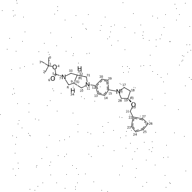 CC(C)(C)OC(=O)N1C[C@@H]2CN(c3ccc(N4CC[C@@H](OCc5ccccc5)C4)cc3)C[C@@H]2C1